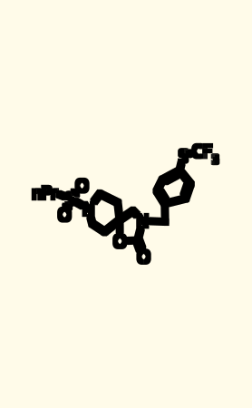 CCCS(=O)(=O)N1CCC2(CC1)CN(Cc1ccc(SC(F)(F)F)cc1)C(=O)O2